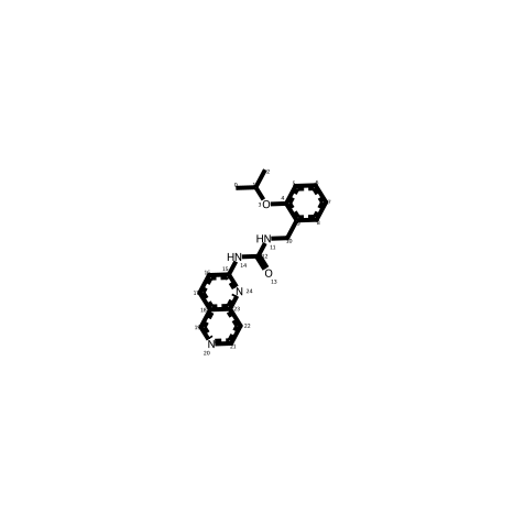 CC(C)Oc1ccccc1CNC(=O)Nc1ccc2cnccc2n1